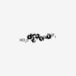 O=C(O)c1ccc2nc(CN3CC=C(c4ccnc(OCc5ccc(C(F)(F)F)nc5)n4)CC3)n(C[C@@H]3CCO3)c2c1